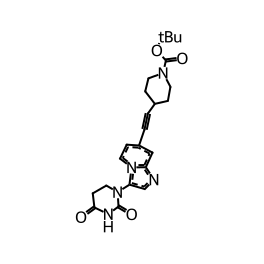 CC(C)(C)OC(=O)N1CCC(C#Cc2ccn3c(N4CCC(=O)NC4=O)cnc3c2)CC1